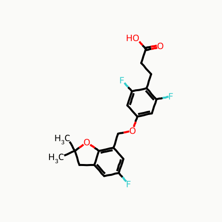 CC1(C)Cc2cc(F)cc(COc3cc(F)c(CCC(=O)O)c(F)c3)c2O1